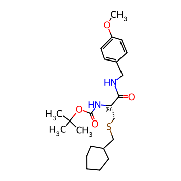 COc1ccc(CNC(=O)[C@H](CSCC2CCCCC2)NC(=O)OC(C)(C)C)cc1